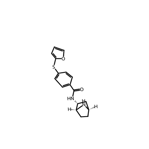 O=C(N[C@@H]1C[C@H]2CC[C@@H]1N2)c1ccc(Sc2ccco2)cc1